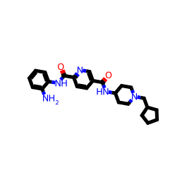 Nc1ccccc1NC(=O)c1ccc(C(=O)NC2CCN(CC3CCCC3)CC2)cn1